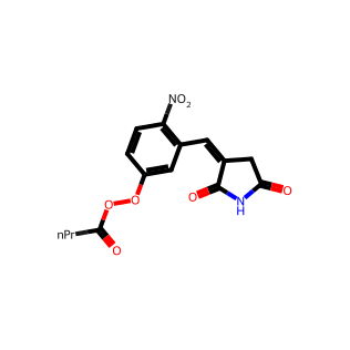 CCCC(=O)OOc1ccc([N+](=O)[O-])c(C=C2CC(=O)NC2=O)c1